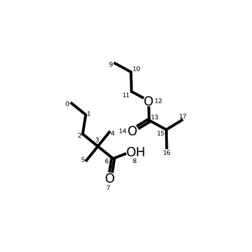 CCCC(C)(C)C(=O)O.CCCOC(=O)C(C)C